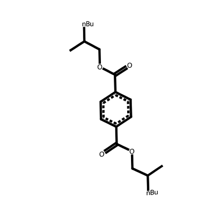 CCCCC(C)COC(=O)c1ccc(C(=O)OCC(C)CCCC)cc1